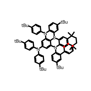 CC(C)(C)c1ccc(N(c2ccc(C(C)(C)C)cc2)c2cc3c4c(c2)N(c2ccc(C(C)(C)C)cc2-c2ccccc2)c2cc5c(cc2B4c2cc(C(C)(C)C)ccc2N3c2ccc(C(C)(C)C)cc2)C(C)(C)CCC5(C)C)cc1